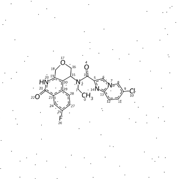 CCN(C(=O)c1cn2cc(Cl)ccc2n1)C1COCc2[nH]c(=O)c3cc(F)ccc3c21